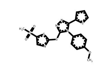 COc1ccc(-n2c(Sc3ncc(S(C)(=O)=O)s3)nnc2-c2cccs2)cc1